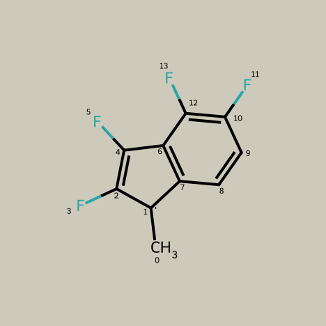 C[C]1C(F)=C(F)c2c1ccc(F)c2F